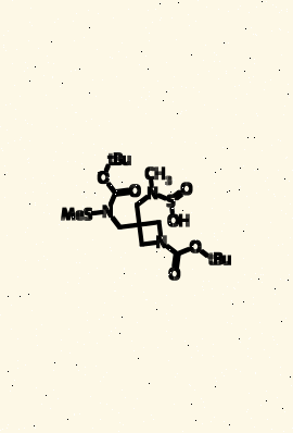 CSN(CC1(CN(C)S(=O)O)CN(C(=O)OC(C)(C)C)C1)C(=O)OC(C)(C)C